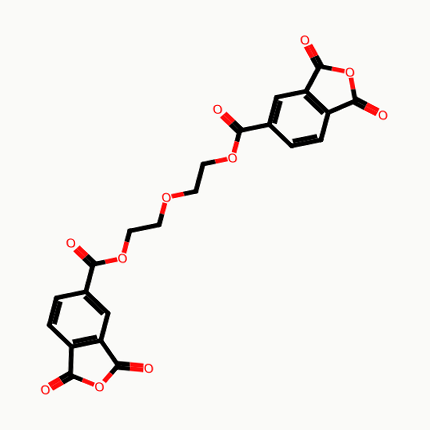 O=C(OCCOCCOC(=O)c1ccc2c(c1)C(=O)OC2=O)c1ccc2c(c1)C(=O)OC2=O